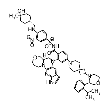 CC(C)c1ccccc1[C@@H]1COCCN1C1CC2(CCN(c3ccc(C(=O)NS(=O)(=O)c4ccc(NC[C@H]5CC[C@](C)(O)CC5)c([N+](=O)[O-])c4)c(N4C[C@@H]5COCCCN5c5nc6[nH]ccc6cc54)c3)CC2)C1